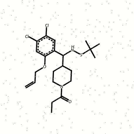 C=CCOc1cc(Cl)c(Cl)cc1C(NSC(C)(C)C)C1CCN(C(=O)CC)CC1